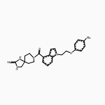 CC(C)(C)c1ccc(OCCn2ccc3c(C(=O)N4CCC5(CC4)CNC(=N)N5)cccc32)cc1